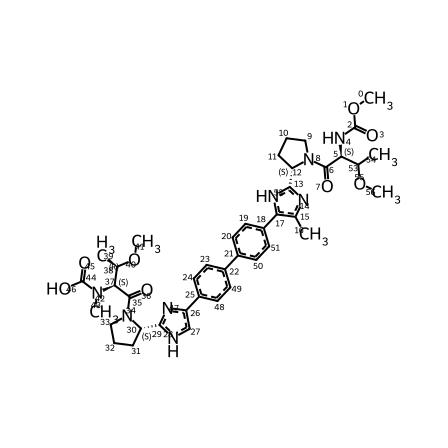 COC(=O)N[C@H](C(=O)N1CCC[C@H]1c1nc(C)c(-c2ccc(-c3ccc(-c4c[nH]c([C@@H]5CCCN5C(=O)[C@H]([C@@H](C)OC)N(C)C(=O)O)n4)cc3)cc2)[nH]1)C(C)OC